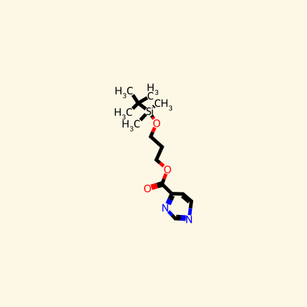 CC(C)(C)[Si](C)(C)OCCCOC(=O)c1ccncn1